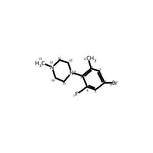 Cc1cc(Br)cc(F)c1N1CCN(C)CC1